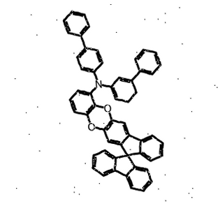 C1=C(c2ccccc2)CCC=C1N(c1ccc(-c2ccccc2)cc1)c1cccc2c1Oc1cc3c(cc1O2)C1(c2ccccc2-c2ccccc21)c1ccccc1-3